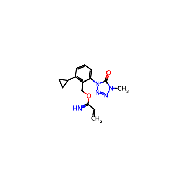 C=CC(=N)OCc1c(C2CC2)cccc1-n1nnn(C)c1=O